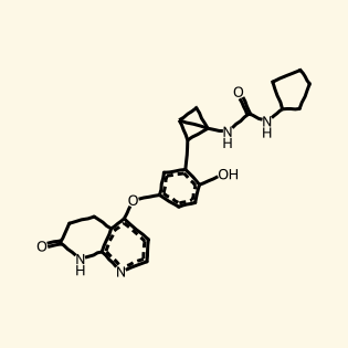 O=C1CCc2c(Oc3ccc(O)c(C4C5CC54NC(=O)NC4CCCC4)c3)ccnc2N1